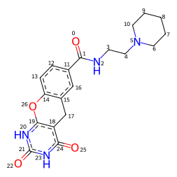 O=C(NCCN1CCCCC1)c1ccc2c(c1)Cc1c([nH]c(=O)[nH]c1=O)O2